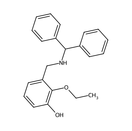 CCOc1c(O)cccc1CNC(c1ccccc1)c1ccccc1